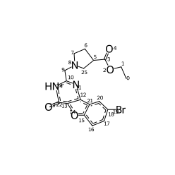 CCOC(=O)C1CCN(Cc2nc3c(oc4ccc(Br)cc43)c(=O)[nH]2)C1